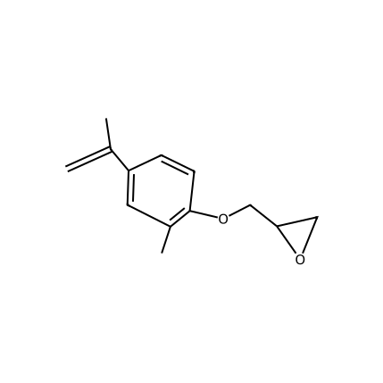 C=C(C)c1ccc(OCC2CO2)c(C)c1